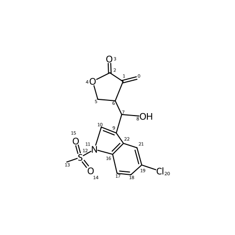 C=C1C(=O)OCC1C(O)c1cn(S(C)(=O)=O)c2ccc(Cl)cc12